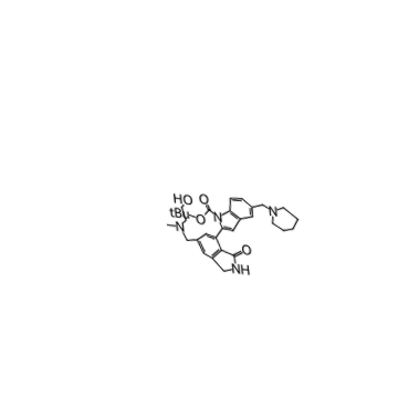 CN(CCO)Cc1cc2c(c(-c3cc4cc(CN5CCCCC5)ccc4n3C(=O)OC(C)(C)C)c1)C(=O)NC2